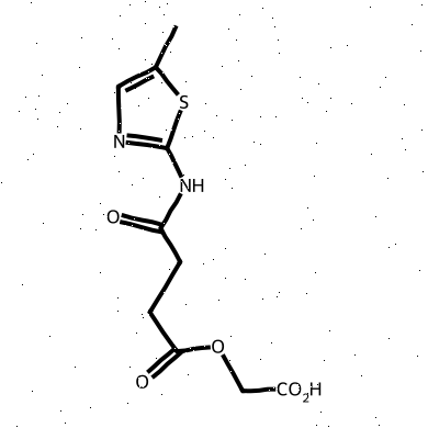 Cc1cnc(NC(=O)CCC(=O)OCC(=O)O)s1